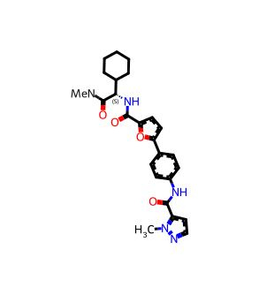 CNC(=O)[C@@H](NC(=O)c1ccc(-c2ccc(NC(=O)c3ccnn3C)cc2)o1)C1CCCCC1